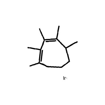 CC1=C(C)C(C)=C(C)C(C)CCC1.[Ir]